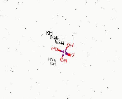 O=P(O)(O)O.[KH].[KH].[NaH].[NaH].[NaH]